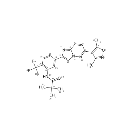 Cc1noc(C)c1-c1ccc2nc(-c3ccc(C(F)(F)F)c(NC(=O)C(C)(C)C)c3)cn2n1